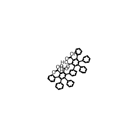 O=C(O)c1c(C(=O)O)c(-c2cccc(-c3c(C(=O)O)c(C(=O)O)c(-c4ccccc4)c(-c4ccccc4)c3-c3ccccc3)c2)c(-c2ccccc2)c(-c2ccccc2)c1-c1ccccc1